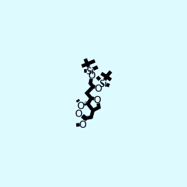 COC(=O)CC1COC(CC(CO[Si](C)(C)C(C)(C)C)O[Si](C)(C)C(C)(C)C)[C@@H]1OC